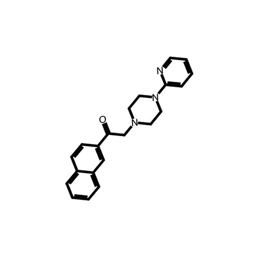 O=C(CN1CCN(c2ccccn2)CC1)c1ccc2ccccc2c1